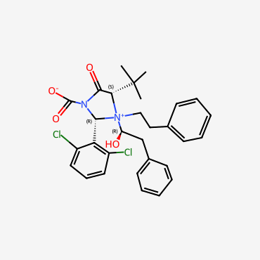 CC(C)(C)[C@H]1C(=O)N(C(=O)[O-])[C@@H](c2c(Cl)cccc2Cl)[N+]1(CCc1ccccc1)[C@H](O)Cc1ccccc1